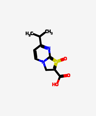 CC(C)C1=NC2=S(=O)=C(C(=O)O)CN2C=C1